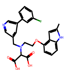 Cc1cc2c(OCCN(Cc3cncc(-c4cccc(F)c4)c3)C(C(=O)O)C(=O)O)cccc2[nH]1